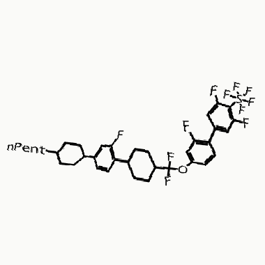 CCCCCC1CCC(c2ccc(C3CCC(C(F)(F)Oc4ccc(-c5cc(F)c(S(F)(F)(F)(F)F)c(F)c5)c(F)c4)CC3)c(F)c2)CC1